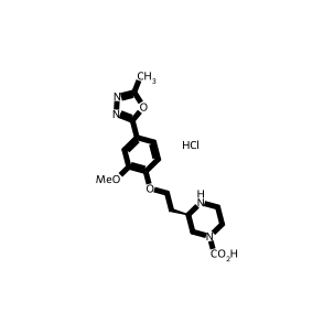 COc1cc(-c2nnc(C)o2)ccc1OCC[C@@H]1CN(C(=O)O)CCN1.Cl